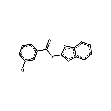 O=C(Sc1nc2ccccc2o1)c1cccc(Cl)c1